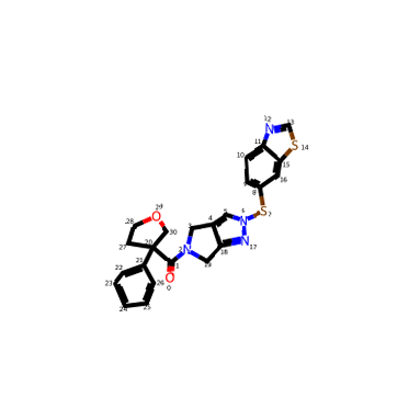 O=C(N1Cc2cn(Sc3ccc4ncsc4c3)nc2C1)C1(c2ccccc2)CCOC1